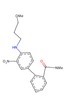 CNC(=O)c1ccccc1-c1ccc(NCCCOC)c([N+](=O)[O-])c1